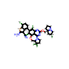 N#Cc1c(N)sc2c(F)ccc(-c3c(Cl)c4c5c(nc(OC[C@@]67CCCN6C[C@H](F)C7)nc5c3F)N3CCC(F)(F)C3CO4)c12